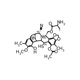 COc1c(C)cc2c(c1O)C1NC(C2)[C@H](C#N)N2C1[C@H](S)c1c(OC(C)=O)c(C)c3c(c1[C@@H]2COC(=O)C(N)I)OCO3